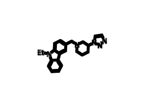 CCn1c2ccccc2c2cc(CN3CCCC(n4ccnn4)C3)ccc21